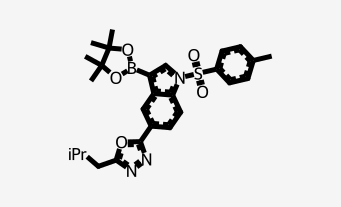 Cc1ccc(S(=O)(=O)n2cc(B3OC(C)(C)C(C)(C)O3)c3cc(-c4nnc(CC(C)C)o4)ccc32)cc1